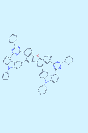 C1=CC(n2c3ccc(-c4ccc5oc6ccc(-c7ccc8c(c7)c7c(-c9nc(-c%10ccccc%10)nc(-c%10ccccc%10)n9)cccc7n8-c7ccccc7)cc6c5c4)cc3c3c(-c4nc(-c5ccccc5)nc(-c5ccccc5)n4)cccc32)=CCC1